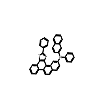 c1ccc(-c2nc3c(o2)c2ccccc2c2ccc4ccc(N(c5ccccc5)c5ccc6ccccc6c5)cc4c23)cc1